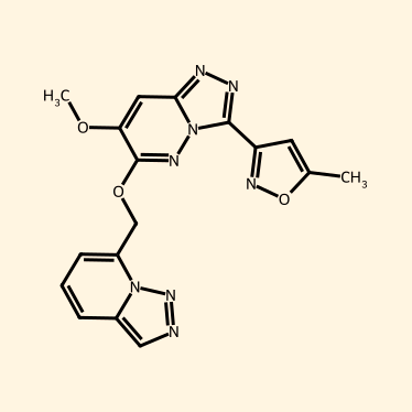 COc1cc2nnc(-c3cc(C)on3)n2nc1OCc1cccc2cnnn12